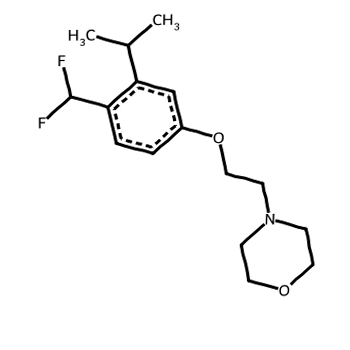 CC(C)c1cc(OCCN2CCOCC2)ccc1C(F)F